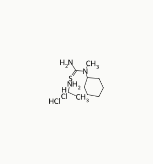 CCN.CN(C(N)=S)C1CCCCC1.Cl.Cl